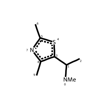 CNC(C)c1sc(C)nc1C